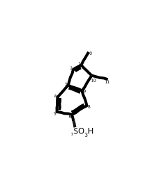 CC1=Cc2ccc(S(=O)(=O)O)cc2C1C